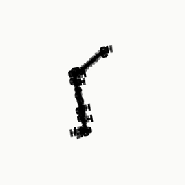 NN[C@@H](CCCCNC(=O)COCC(=O)NCCCOCCOCCOCCCNC(=O)CC[C@H](NC(=O)CCCCCCCCCCCCCCCCC(=O)O)C(=O)O)C(=O)O